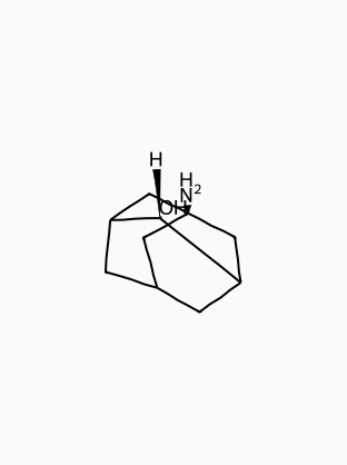 N[C@]12CC3CC(C1)[C@@H](O)C(C3)C2